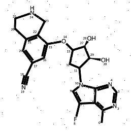 Cc1ncnc2c1c(F)cn2C1CC(Oc2cc(C#N)cc3c2CNCC3)[C@@H](O)[C@H]1O